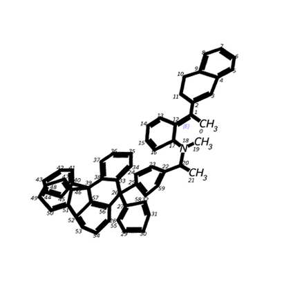 C/C(C1=Cc2ccccc2CC1)=C1/C=CC=CC1N(C)C(C)c1ccc(C2(c3ccccc3)c3ccccc3C3(c4ccccc4)c4ccccc4-c4cccc2c43)cc1